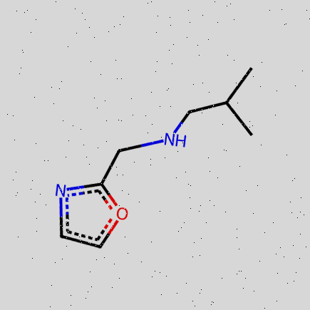 CC(C)CNCc1ncco1